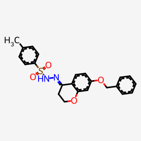 Cc1ccc(S(=O)(=O)NN=C2CCOc3cc(OCc4ccccc4)ccc32)cc1